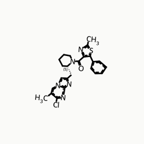 Cc1nc(C(=O)N2CCCC[C@H]2Cc2cn3cc(C)c(Cl)nc3n2)c(-c2ccccc2)s1